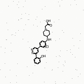 Cl.O=C(O)CN1CCC(Nc2ccc(-c3cnnc(-c4ccccc4O)c3)cc2)CC1